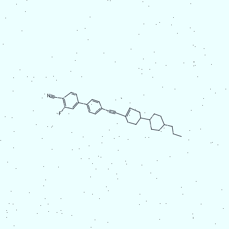 CCCC1CCC(C2CC=C(C#Cc3ccc(-c4ccc(C#N)c(F)c4)cc3)CC2)CC1